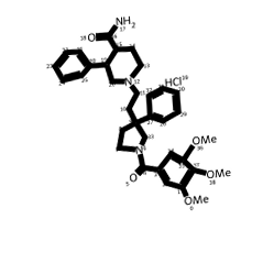 COc1cc(C(=O)N2CCC(CCN3CCC(C(N)=O)C(c4ccccc4)C3)(c3ccccc3)C2)cc(OC)c1OC.Cl